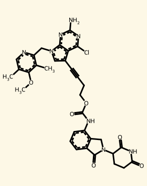 COc1c(C)cnc(Cn2cc(C#CCCOC(=O)Nc3cccc4c3CN(C3CCC(=O)NC3=O)C4=O)c3c(Cl)nc(N)nc32)c1C